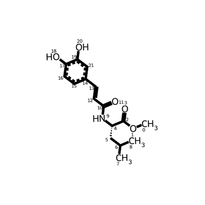 COC(=O)[C@H](CC(C)C)NC(=O)/C=C/c1ccc(O)c(O)c1